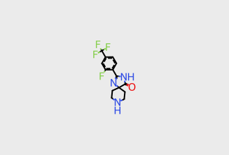 O=C1NC(c2ccc(C(F)(F)F)cc2F)=NC12CCNCC2